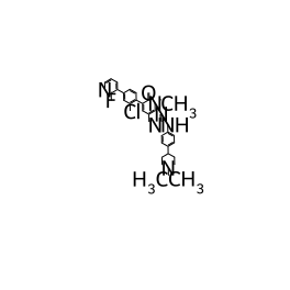 CCn1c(=O)c(-c2ccc(-c3cccnc3F)cc2Cl)cc2cnc(Nc3ccc(C4CCN(C(C)C)CC4)cc3)nc21